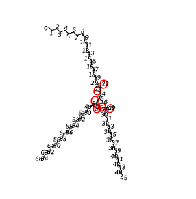 CCCCCCCC/C=C\CCCCCCCCCCCC(=O)OC[C@@H](COC(=O)CCCCCCCCCCCCCCCC)OC(=O)CCCCCCCCCCCCCCCCC